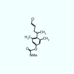 CNC(=O)Oc1cc(C)c(N(C)CC=CCl)c(C)c1